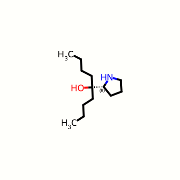 CCCCC(O)(CCCC)[C@H]1CCCN1